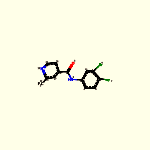 O=C(Nc1ccc(F)c(Br)c1)c1ccnc(C(F)(F)F)c1